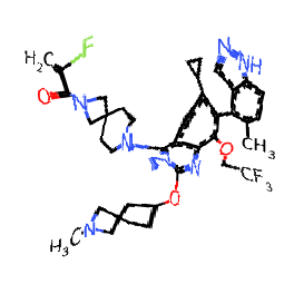 C=C(F)C(=O)N1CC2(CCN(c3nc(OC4CC5(C4)CN(C)C5)nc4c(OCC(F)(F)F)c(-c5c(C)ccc6[nH]ncc56)c(C5CC5)cc34)CC2)C1